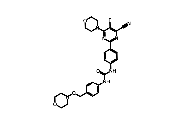 N#Cc1nc(-c2ccc(NC(=O)Nc3ccc(CON4CCOCC4)cc3)cc2)nc(N2CCOCC2)c1F